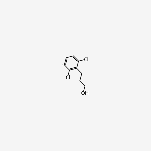 OCCCc1c(Cl)[c]ccc1Cl